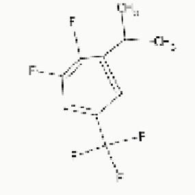 CC(C)c1cc(C(F)(F)F)cc(F)c1F